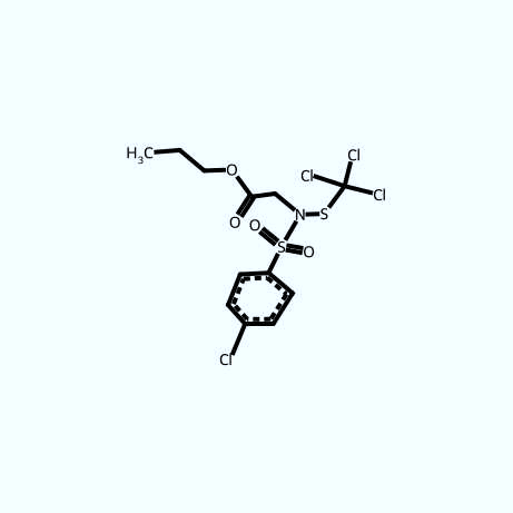 CCCOC(=O)CN(SC(Cl)(Cl)Cl)S(=O)(=O)c1ccc(Cl)cc1